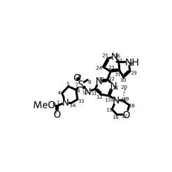 COC(=O)N1CCC(S(C)(=O)=Nc2cc(N3CCOC[C@H]3C)nc(-c3ccnc4[nH]ccc34)n2)CC1